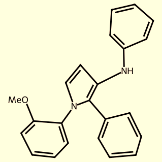 COc1ccccc1-n1ccc(Nc2ccccc2)c1-c1ccccc1